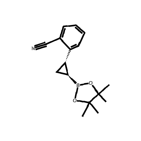 CC1(C)OB([C@H]2C[C@@H]2c2ccccc2C#N)OC1(C)C